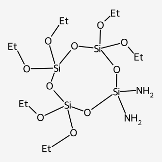 CCO[Si]1(OCC)O[Si](N)(N)O[Si](OCC)(OCC)O[Si](OCC)(OCC)O1